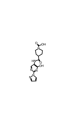 O=C(Nc1cnc(-n2cccn2)nc1O)C1CCN(C(=O)O)CC1